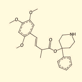 COc1cc(OC)c(OC)cc1/C=C/C(C)C(=O)OC1(c2ccccc2)CCNCC1